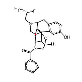 C[C@H](F)CN1CCC23c4cc(O)ccc4CC1C21CCC2C3[C@@H](CN2C(=O)c2ccccc2)O1